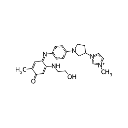 CC1=C/C(=N/c2ccc(N3CCC(n4cc[n+](C)c4)C3)cc2)C(NCCO)=CC1=O